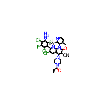 C=CC(=O)N1CCN(c2c(C#N)c(=O)n(-c3c(C)ccnc3C(C)C)c3nc(-c4c(Cl)c(N)c(Cl)c(F)c4Cl)c(Cl)cc23)CC1